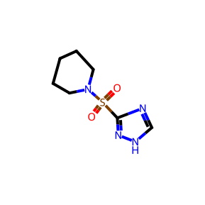 O=S(=O)(c1nc[nH]n1)N1CCCCC1